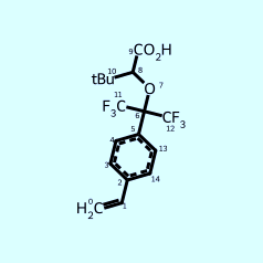 C=Cc1ccc(C(OC(C(=O)O)C(C)(C)C)(C(F)(F)F)C(F)(F)F)cc1